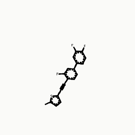 Cc1ccc(C#Cc2ccc(-c3ccc(F)c(F)c3)cc2F)s1